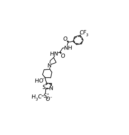 C[S+]([O-])c1ncc([C@]2(O)CC[C@H](N3CC(NC(=O)CNC(=O)c4cccc(C(F)(F)F)c4)C3)CC2)s1